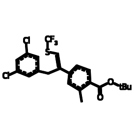 Cc1cc(/C(=C/SC(F)(F)F)Cc2cc(Cl)cc(Cl)c2)ccc1C(=O)OC(C)(C)C